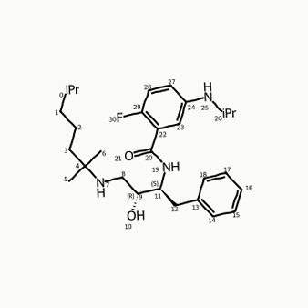 CC(C)CCCC(C)(C)NC[C@@H](O)[C@H](Cc1ccccc1)NC(=O)c1cc(NC(C)C)ccc1F